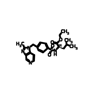 CCOC(=O)[C@H](CC(C)C)NS(=O)(=O)c1ccc(Cn2c(C)nc3cnccc32)cc1